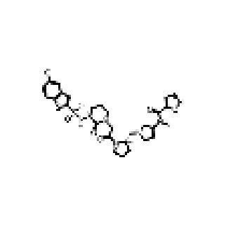 CN(C(=O)c1ccno1)C1CCN(C[C@@H]2CCCN2C(=O)CN2CCC[C@H](NS(=O)(=O)c3cc4cc(Cl)ccc4s3)C2=O)C1